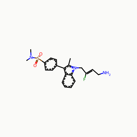 Cc1c(-c2ccc(S(=O)(=O)N(C)C)cc2)c2ccccc2n1CC(F)=CCN